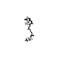 CC(=CCC(O)C(C)=Cc1csc(C)n1)CCCC(C)CO[Si](C)(C)C(C)(C)C